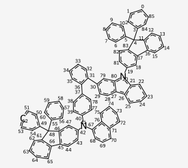 c1ccc(C2(c3ccccc3)c3ccccc3-c3cc(-n4c5ccccc5c5ccc(-c6ccccc6-c6ccc(N(c7ccc8c(c7)C(c7ccccc7)(c7ccccc7)c7ccccc7-8)c7cccc8ccccc78)cc6)cc54)ccc32)cc1